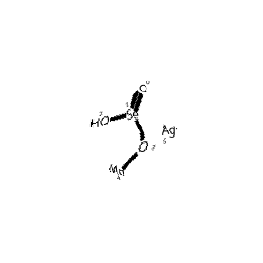 O=[Se](O)[O][Mo].[Ag]